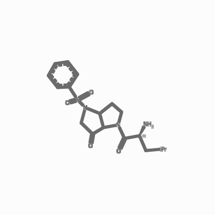 CC(C)C[C@H](N)C(=O)N1CCC2C1C(=O)CN2S(=O)(=O)c1ccccc1